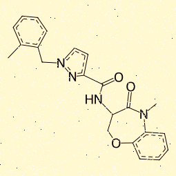 Cc1ccccc1Cn1ccc(C(=O)NC2COc3ccccc3N(C)C2=O)n1